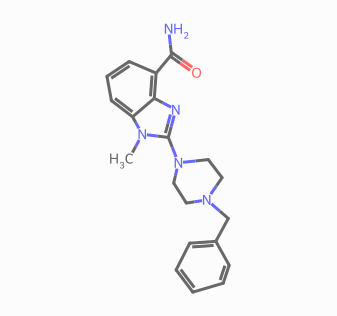 Cn1c(N2CCN(Cc3ccccc3)CC2)nc2c(C(N)=O)cccc21